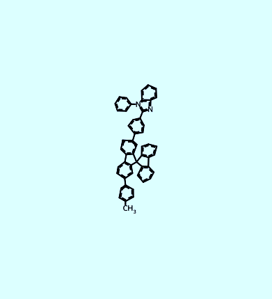 Cc1ccc(-c2ccc3c(c2)C2(c4ccccc4-c4ccccc42)c2cc(-c4ccc(-c5nc6ccccc6n5-c5ccccc5)cc4)ccc2-3)cc1